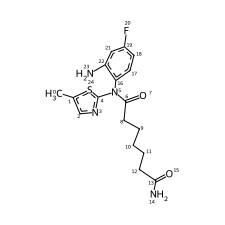 Cc1cnc(N(C(=O)CCCCCC(N)=O)c2ccc(F)cc2N)s1